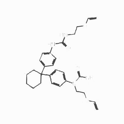 C=COCCNC(=O)Nc1ccc(C2(c3ccc(N(CCOC=C)C(N)=O)cc3)CCCCC2)cc1